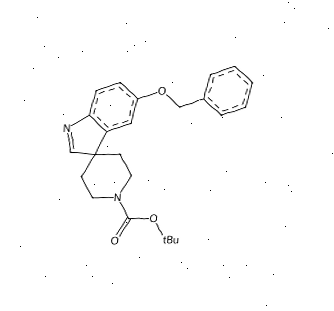 CC(C)(C)OC(=O)N1CCC2(C=Nc3ccc(OCc4ccccc4)cc32)CC1